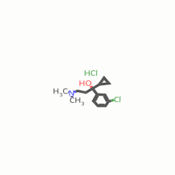 CN(C)CCC(O)(c1cccc(Cl)c1)C1CC1.Cl